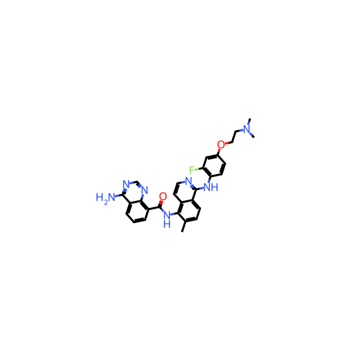 Cc1ccc2c(Nc3ccc(OCCN(C)C)cc3F)nccc2c1NC(=O)c1cccc2c(N)ncnc12